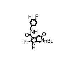 CCCCn1cc2[nH]c(C(C)C)c(C(=O)NCc3ccc(F)c(F)c3)c2cc1=O